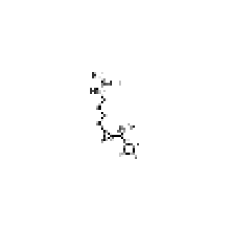 CCC(O)NCCCCC1CC1C(C(C)C)C1CCC1